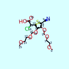 COCCOCOc1c(C#N)sc(C(Cl)C(=O)O)c1OCOCCOC